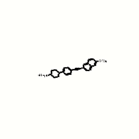 CCCCCCCC1CCC(c2ccc(C#Cc3ccc4cc(OC)ccc4c3)cc2)CC1